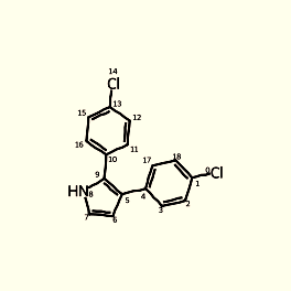 Clc1ccc(-c2cc[nH]c2-c2ccc(Cl)cc2)cc1